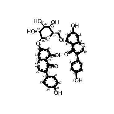 O=c1c(-c2ccc(O)cc2)coc2cc(O)ccc12.O=c1c(-c2ccc(O)cc2)coc2cc(O[C@@H]3O[C@H](CO)[C@@H](O)[C@H](O)[C@H]3O)cc(O)c12